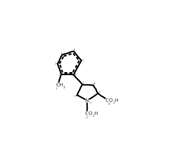 Cc1ccccc1C1CC(C(=O)O)N(C(=O)O)C1